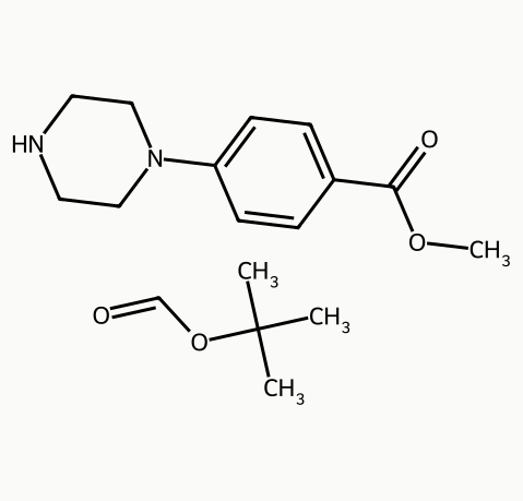 CC(C)(C)OC=O.COC(=O)c1ccc(N2CCNCC2)cc1